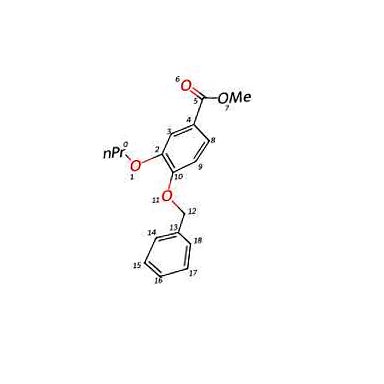 CCCOc1cc(C(=O)OC)ccc1OCc1ccccc1